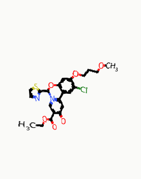 CCOC(=O)c1cn2c(cc1=O)-c1cc(Cl)c(OCCCOC)cc1OC2c1nccs1